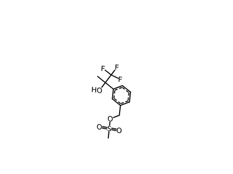 CC(O)(c1cccc(COS(C)(=O)=O)c1)C(F)(F)F